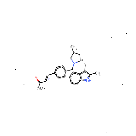 COC(=O)/C=C/c1ccc(CN2CC(C)C[C@@H]2Cc2c(C)[nH]c3ccccc23)cc1